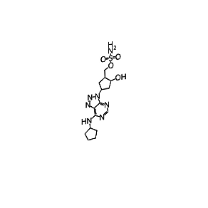 NS(=O)(=O)OCC1CC(n2nnc3c(NC4CCCC4)ncnc32)CC1O